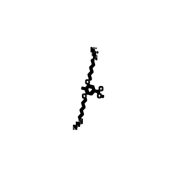 COC(=O)c1cc(OCCCCCCN=[N+]=[N-])c(C)c(OCCCCCCN=[N+]=[N-])c1